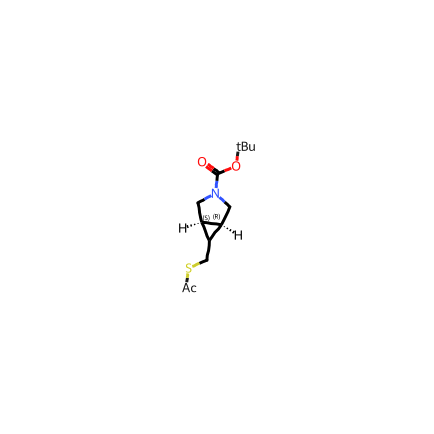 CC(=O)SCC1[C@H]2CN(C(=O)OC(C)(C)C)C[C@@H]12